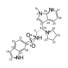 Cn1cc([C@@H](CNS(=O)(=O)c2ccc3cc[nH]c3c2)N2CCCC2)c2cccnc21